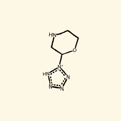 C1COC([n+]2nnn[nH]2)CN1